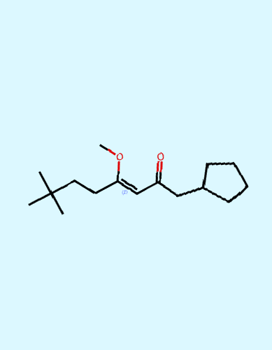 CO/C(=C\C(=O)CC1CCCC1)CCC(C)(C)C